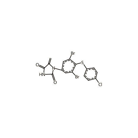 C=C1C(=O)NC(=O)N1c1cc(Br)c(Sc2ccc(Cl)cc2)c(Br)c1